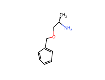 C[C@@H](N)COCc1ccccc1